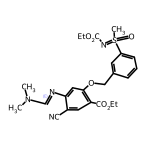 CCOC(=O)N=S(C)(=O)c1cccc(COc2cc(/N=C/N(C)C)c(C#N)cc2C(=O)OCC)c1